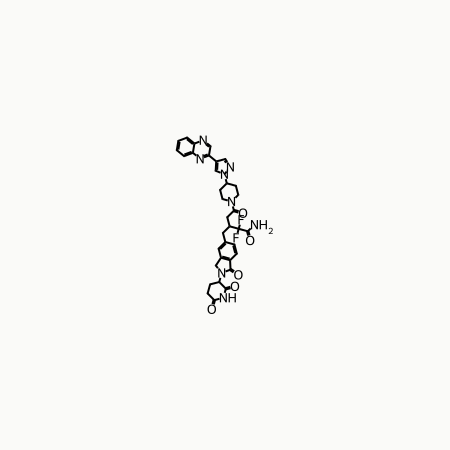 NC(=O)C(F)(F)C(CC(=O)N1CCC(n2cc(-c3cnc4ccccc4n3)cn2)CC1)Cc1ccc2c(c1)CN(C1CCC(=O)NC1=O)C2=O